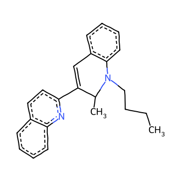 CCCCN1c2ccccc2C=C(c2ccc3ccccc3n2)C1C